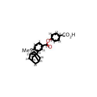 CSc1ccc(C(=O)Oc2ccc(C(=O)O)cc2)cc1C12CC3CC(CC(C3)C1)C2